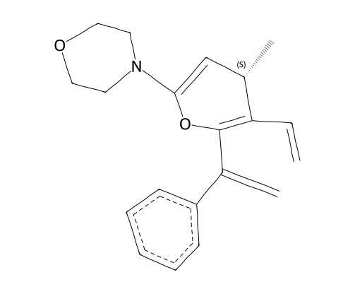 C=CC1=C(C(=C)c2ccccc2)OC(N2CCOCC2)=C[C@@H]1C